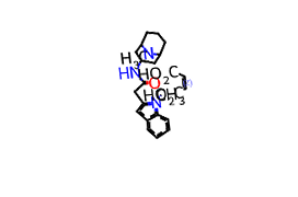 CN1C2CCCC1CC(NC(=O)Cc1cc3ccccc3n1C)C2.O=C(O)/C=C\C(=O)O